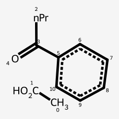 CC(=O)O.CCCC(=O)c1ccccc1